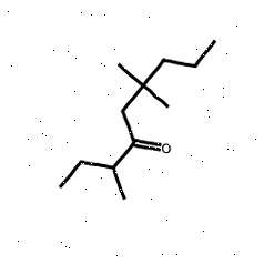 CCCC(C)(C)CC(=O)C(C)CC